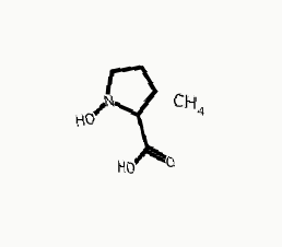 C.O=C(O)C1CCCN1O